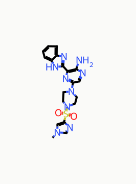 Cn1cnc(S(=O)(=O)N2CCN(c3cnc(N)c(-c4nc5ccccc5[nH]4)n3)CC2)c1